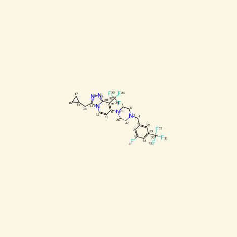 Fc1cc(CN2CCN(c3ccn4c(CC5CC5)nnc4c3C(F)(F)F)CC2)cc(C(F)(F)F)c1